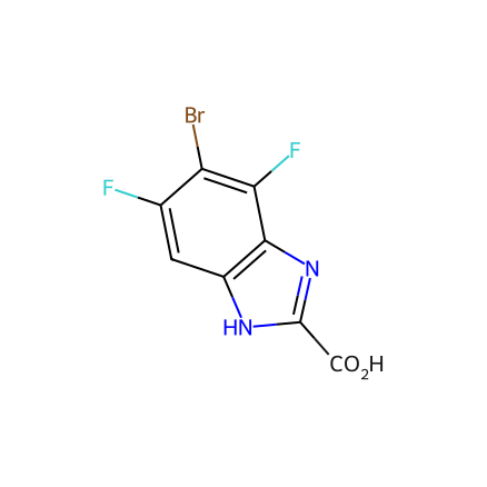 O=C(O)c1nc2c(F)c(Br)c(F)cc2[nH]1